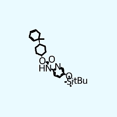 CC(C)(C)[Si](C)(C)Oc1ccc(NC(=O)O[C@H]2CC[C@H](C3(C)C=CC=CC3)CC2)nc1